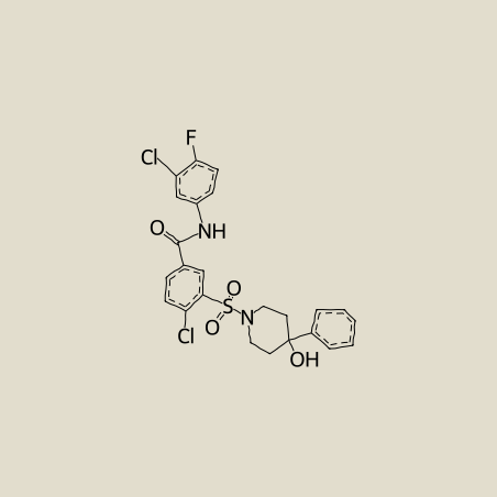 O=C(Nc1ccc(F)c(Cl)c1)c1ccc(Cl)c(S(=O)(=O)N2CCC(O)(c3ccccc3)CC2)c1